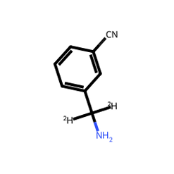 [2H]C([2H])(N)c1cccc(C#N)c1